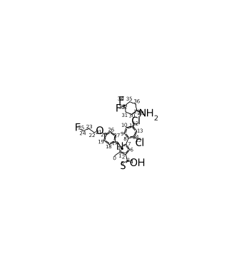 Cc1c(C(O)=S)cc(-c2ccc(Cl)cc2Cl)n1-c1ccc(OCCCF)cc1.NC1CCC(F)(F)CC1